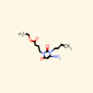 CCCCn1c(N)cc(=O)n(CCCC(=O)OCC)c1=O